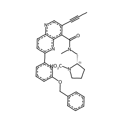 CC#Cc1cnc2ccc(-c3cccc(OCc4ccccc4)c3)nc2c1C(=O)N(C)C[C@@H]1CCCN1C(=O)O